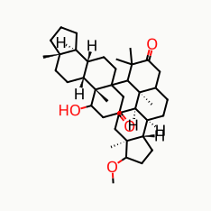 COC1CC[C@H]2[C@@H]3CCC4CC(=O)C(C)(C)C(C56CC[C@@H]7[C@@H](CC[C@]8(C)CCC[C@@H]78)[C@@]5(C)C(O)CC(=O)C6)[C@]4(C)[C@@H]3CC[C@]12C